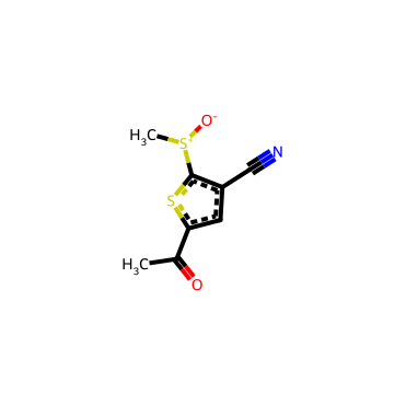 CC(=O)c1cc(C#N)c([S+](C)[O-])s1